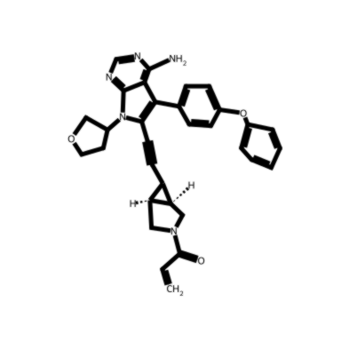 C=CC(=O)N1C[C@@H]2C(C#Cc3c(-c4ccc(Oc5ccccc5)cc4)c4c(N)ncnc4n3C3CCOC3)[C@@H]2C1